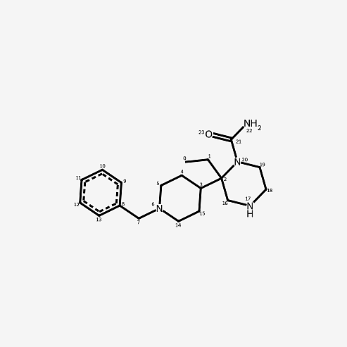 CCC1(C2CCN(Cc3ccccc3)CC2)CNCCN1C(N)=O